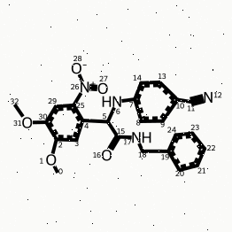 COc1cc(C(Nc2ccc(C#N)cc2)C(=O)NCc2ccccc2)c([N+](=O)[O-])cc1OC